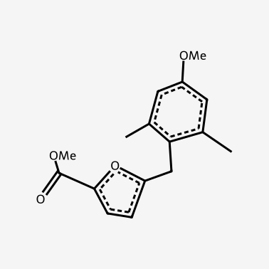 COC(=O)c1ccc(Cc2c(C)cc(OC)cc2C)o1